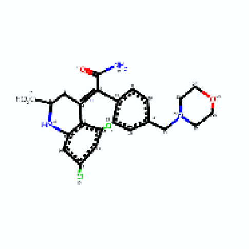 NC(=O)/C(=C1\CC(C(=O)O)Nc2cc(Cl)cc(Cl)c21)c1ccc(CN2CCOCC2)cc1